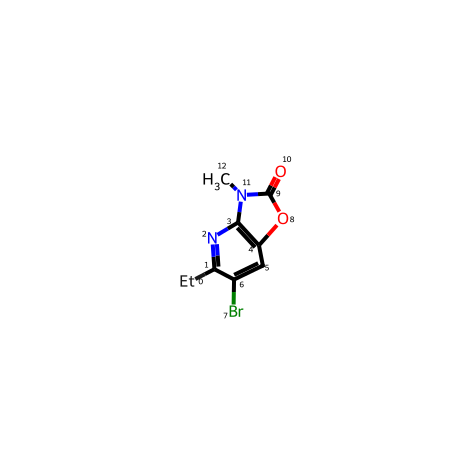 CCc1nc2c(cc1Br)oc(=O)n2C